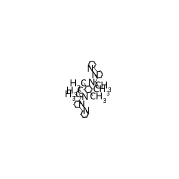 C/C(=N\c1c(C)c(C)c(/N=C(\C)c2cccc(-c3ccccn3)n2)c(C)c1C)c1cccc(-c2ccccn2)n1